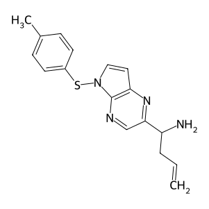 C=CCC(N)c1cnc2c(ccn2Sc2ccc(C)cc2)n1